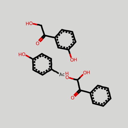 CC(=O)c1ccc(O)cc1.O=C(CO)c1cccc(O)c1.O=C(c1ccccc1)C(O)O